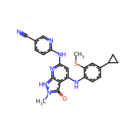 CSc1cc(C2CC2)ccc1Nc1cc(Nc2ccc(C#N)cn2)nc2[nH]n(C)c(=O)c12